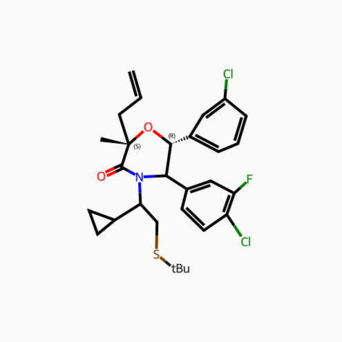 C=CC[C@]1(C)O[C@H](c2cccc(Cl)c2)C(c2ccc(Cl)c(F)c2)N(C(CSC(C)(C)C)C2CC2)C1=O